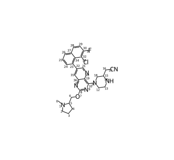 CN1CCCC1COc1nc(N2CCNC(CC#N)C2)c2ncc(-c3cccc4ccc(F)c(Cl)c34)cc2n1